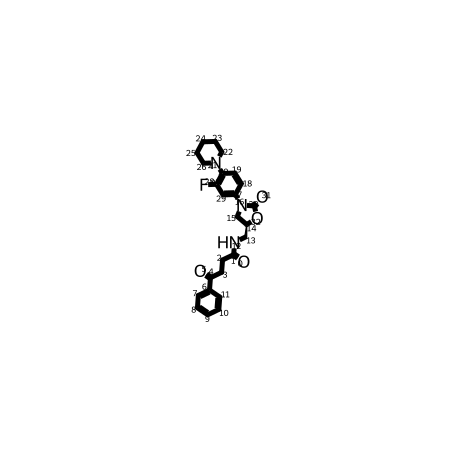 O=C(CCC(=O)c1ccccc1)NC[C@H]1CN(c2ccc(N3CCCCC3)c(F)c2)C(=O)O1